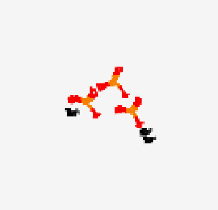 O=P(=O)[O-].O=P(=O)[O-].O=P(=O)[O-].[Na+].[Na+].[Na+]